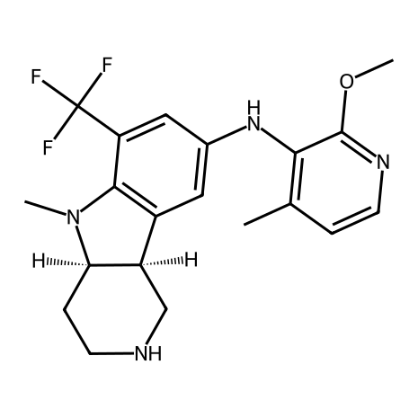 COc1nccc(C)c1Nc1cc2c(c(C(F)(F)F)c1)N(C)[C@@H]1CCNC[C@H]21